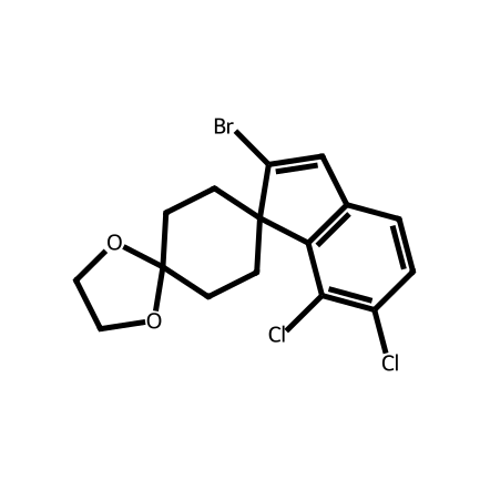 Clc1ccc2c(c1Cl)C1(CCC3(CC1)OCCO3)C(Br)=C2